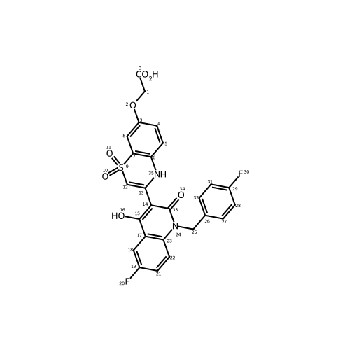 O=C(O)COc1ccc2c(c1)S(=O)(=O)C=C(c1c(O)c3cc(F)ccc3n(Cc3ccc(F)cc3)c1=O)N2